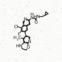 Cc1c(-c2cc3cc(NC(=O)NCC4CC4)ncc3c(Cl)c2F)cnc2c1NCCO2